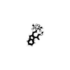 COCC(C)C1=C(CCN(S(C)(=O)=O)S(C)(=O)=O)Cc2ccccc21